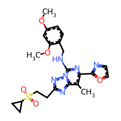 COc1ccc(CNc2nc(-c3ncco3)c(C)c3nc(CCS(=O)(=O)C4CC4)nn23)c(OC)c1